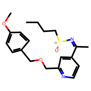 CCCC[S@@+]([O-])/N=C(/C)c1ccnc(COCc2ccc(OC)cc2)c1